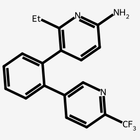 CCc1nc(N)ccc1-c1ccccc1-c1ccc(C(F)(F)F)nc1